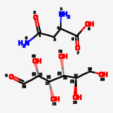 NC(=O)CC(N)C(=O)O.O=C[C@H](O)[C@@H](O)[C@H](O)[C@H](O)CO